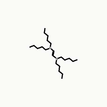 CCCCCN(/C=C/N(CCCCC)CCCCC)CCCCC